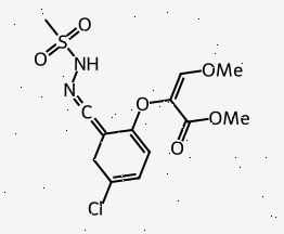 COC=C(OC1=CC=C(Cl)CC1=C=NNS(C)(=O)=O)C(=O)OC